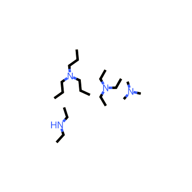 CCCN(CCC)CCC.CCN(CC)CC.CCNCC.CN(C)C